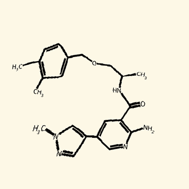 Cc1ccc(COC[C@@H](C)NC(=O)c2cc(-c3cnn(C)c3)cnc2N)cc1C